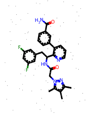 Cc1nn(CC(=O)NC(Cc2cc(F)cc(F)c2)c2ncccc2-c2cccc(C(N)=O)c2)c(C)c1C